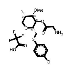 CO[C@@H]1[C@@H](OC(=O)CN)[C@H](CSc2ccc(Cl)cc2)OC[C@@H]1C.O=C(O)C(F)(F)F